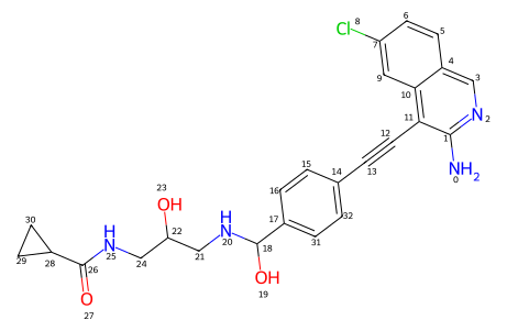 Nc1ncc2ccc(Cl)cc2c1C#Cc1ccc(C(O)NCC(O)CNC(=O)C2CC2)cc1